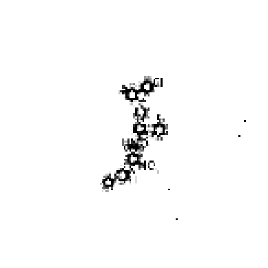 CC1(C)CCC(CN2CCN(c3ccc(C(=O)NS(=O)(=O)c4ccc(NC5CCN(C6CCCC6)CC5)c([N+](=O)[O-])c4)c(Oc4cccc(F)c4)c3)CC2)=C(c2ccc(Cl)cc2)C1